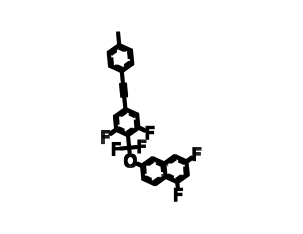 Cc1ccc(C#Cc2cc(F)c(C(F)(F)Oc3ccc4c(F)cc(F)cc4c3)c(F)c2)cc1